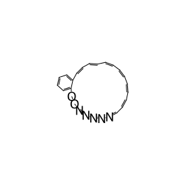 C1=C\C=C/C=N\N=N/N=N\OOc2ccccc2\C=C/C=C/C=C\C=C/1